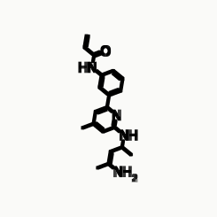 C=CC(=O)Nc1cccc(-c2cc(C)cc(NC(C)/C=C(/C)N)n2)c1